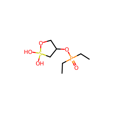 CCP(=O)(CC)OC1COS(O)(O)C1